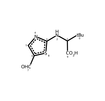 CC(C)(C)C(Nc1ncc(C=O)s1)C(=O)O